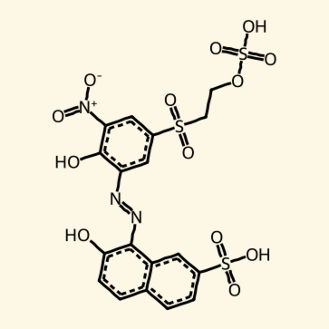 O=[N+]([O-])c1cc(S(=O)(=O)CCOS(=O)(=O)O)cc(N=Nc2c(O)ccc3ccc(S(=O)(=O)O)cc23)c1O